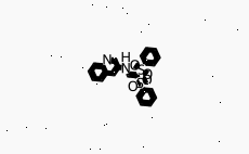 O=S(=O)(C(=CNc1cnc2ccccc2c1)S(=O)(=O)c1ccccc1)c1ccccc1